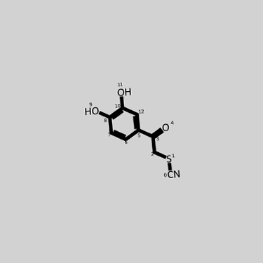 N#CSCC(=O)c1ccc(O)c(O)c1